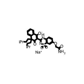 CC(C)CCC1(CCC(C)C)C(=O)C(C2=NS(=O)(=O)c3cc(OCC(N)=O)ccc3N2)=C([O-])c2ccccc21.[Na+]